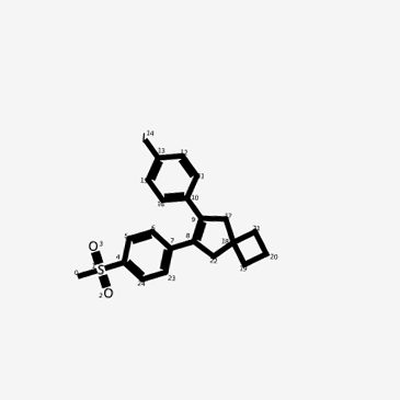 CS(=O)(=O)c1ccc(C2=C(c3ccc(I)cc3)CC3(CCC3)C2)cc1